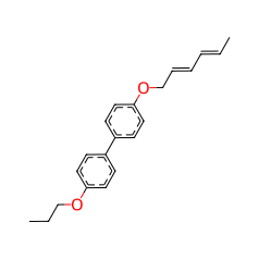 CC=CC=CCOc1ccc(-c2ccc(OCCC)cc2)cc1